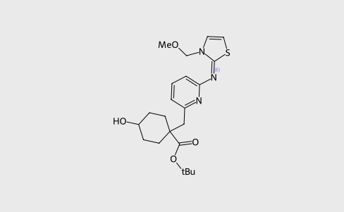 COCn1ccs/c1=N/c1cccc(CC2(C(=O)OC(C)(C)C)CCC(O)CC2)n1